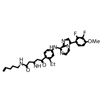 C=CCCCNC(=O)CC(=N)CC(=O)c1ccc(Nc2nccn3c(-c4ccc(OC)c(F)c4F)cnc23)cc1CC